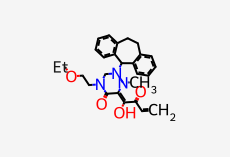 C=CC(=O)/C(O)=C1/C(=O)N(CCOCC)CN(C2c3ccccc3CCc3ccccc32)N1C